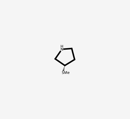 CS[C@H]1CCNC1